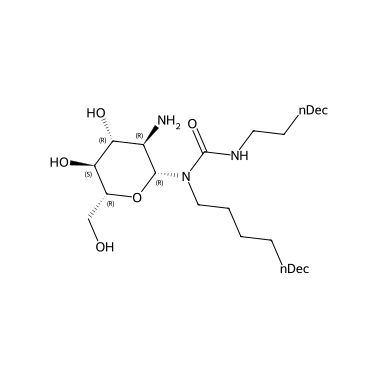 CCCCCCCCCCCCCCN(C(=O)NCCCCCCCCCCCC)[C@@H]1O[C@H](CO)[C@@H](O)[C@H](O)[C@H]1N